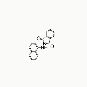 O=C1c2ccccc2C(=O)N1Nc1cccc2ccccc12